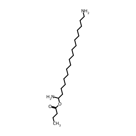 CCCC(=O)OC(N)CCCCCCCCCCCCCCCCCN